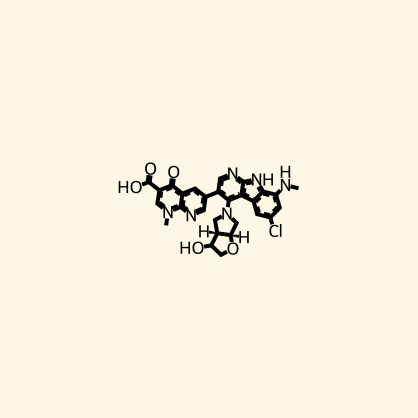 CNc1cc(Cl)cc2c1[nH]c1ncc(-c3cnc4c(c3)c(=O)c(C(=O)O)cn4C)c(N3C[C@@H]4OCC(O)[C@@H]4C3)c12